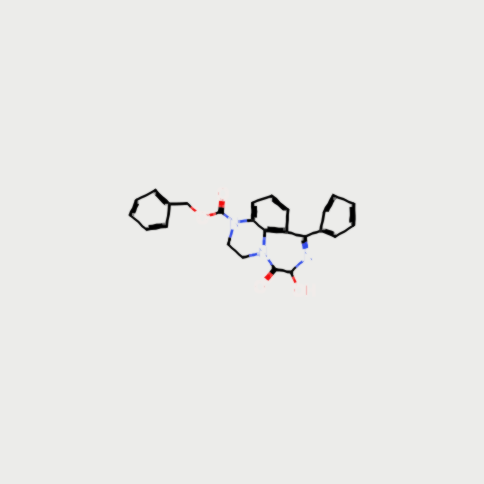 O=C(OCc1ccccc1)N1CCN2C(=O)C(O)N=C(c3ccccc3)c3cccc1c32